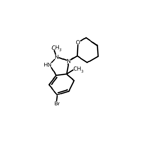 CN1NC2=CC(Br)=CCC2(C)N1C1CCCCO1